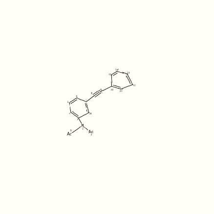 CC(=O)N(C(C)=O)c1cccc(C#Cc2ccccc2)c1